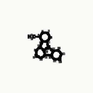 Cc1cccc2c1c1cncc3c4cnccc4n2c31